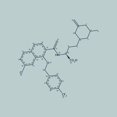 C=C1CC(C)CC(CC[C@H](NC(=O)c2ccc3ccc(Cl)cc3c2OCc2ccc(C(F)(F)F)cc2)C(=O)O)C1